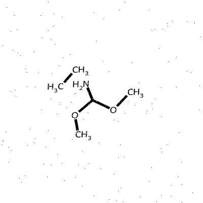 CC.COC(N)OC